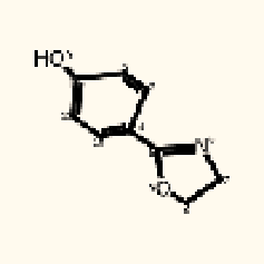 Oc1ccc(C2=NCCO2)cc1